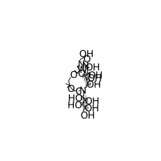 CC1(C)CCOC(C)(c2cn(CC(=O)O)nn2)O[C@H]([C@H](O)CO)[C@H](O)[C@@H](O)CN(C[C@H](O)[C@@H](O)[C@H](O)[C@H](O)CO)CCO1